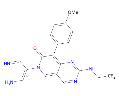 COc1ccc(-c2c(=O)n(/C(C=N)=C/N)cc3cnc(NCC(F)(F)F)nc23)cc1